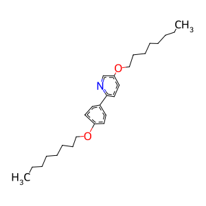 CCCCCCCCOc1ccc(-c2ccc(OCCCCCCCC)cn2)cc1